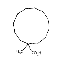 CC1(C(=O)O)CCCCCCCCCCC1